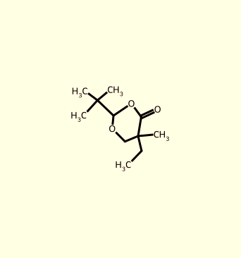 CCC1(C)COC(C(C)(C)C)OC1=O